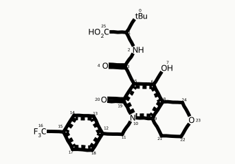 CC(C)(C)C(NC(=O)c1c(O)c2c(n(Cc3ccc(C(F)(F)F)cc3)c1=O)CCOC2)C(=O)O